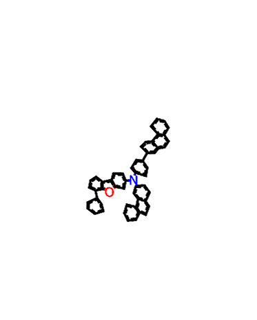 c1ccc(-c2cccc3c2oc2cc(N(c4ccc(-c5ccc6c(ccc7ccccc76)c5)cc4)c4ccc5ccc6ccccc6c5c4)ccc23)cc1